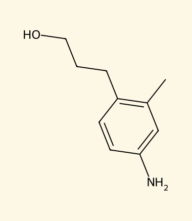 Cc1cc(N)ccc1CCCO